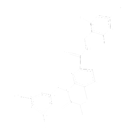 CC1Sc2ccc(C(=O)NCc3c(F)cc(F)cc3F)nc2N(Cc2cc(F)cc(F)c2)C1=O